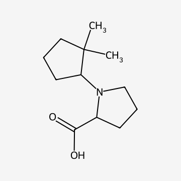 CC1(C)CCCC1N1CCCC1C(=O)O